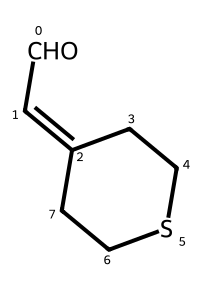 O=CC=C1CCSCC1